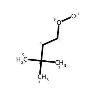 CC(C)(C)CCO[O]